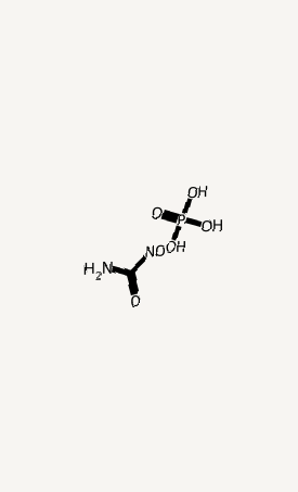 NC(=O)N=O.O=P(O)(O)O